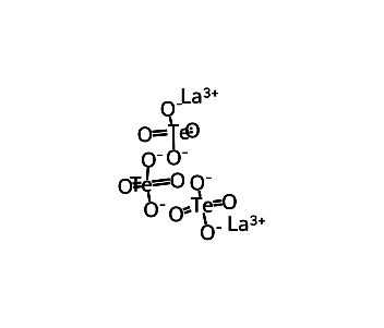 O=[Te](=O)([O-])[O-].O=[Te](=O)([O-])[O-].O=[Te](=O)([O-])[O-].[La+3].[La+3]